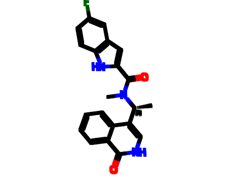 C[C@H](c1c[nH]c(=O)c2ccccc12)N(C)C(=O)c1cc2cc(F)ccc2[nH]1